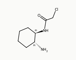 N[C@@H]1CCCC[C@H]1NC(=O)CCl